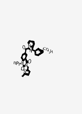 CCCn1c(=O)n(Cc2ccc(C)s2)c(=O)c2cc(C(=O)c3nc(-c4cccc(C(=O)O)c4)c4ccccn34)ccc21